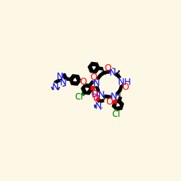 C[C@H]1CNC(=O)C[C@H](Cc2ccc(Cl)cc2)N(C)C(=O)[C@H](CC(=O)N(C)C)NC(=O)[C@H](C)N(Cc2ccc(Cl)cc2Oc2ccc(-c3cnc(CN(C)C)n3C)cc2)C(=O)C[C@@H](Cc2ccccc2)C(=O)N1C